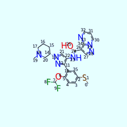 CSc1ccc(OC(F)F)c(-c2nn([C@H]3CCCN(C)C3)cc2NC(O)c2cnn3cccnc23)c1